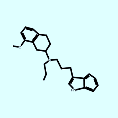 CCCN(CCCc1c[nH]c2ccccc12)C1CCc2cccc(OC)c2C1